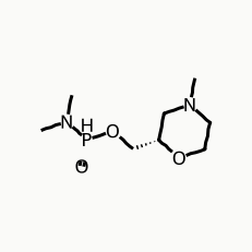 CN1CCO[C@H](CO[PH](=O)N(C)C)C1